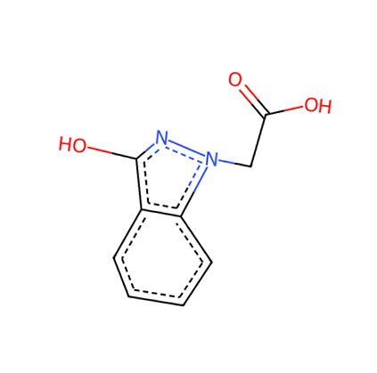 O=C(O)Cn1nc(O)c2ccccc21